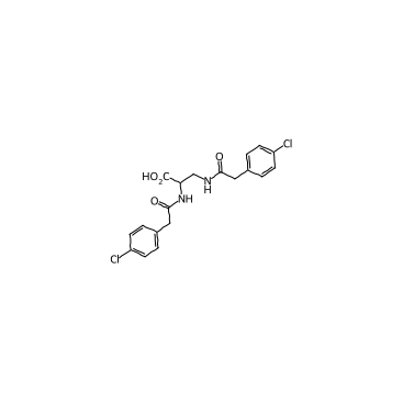 O=C(Cc1ccc(Cl)cc1)NCC(NC(=O)Cc1ccc(Cl)cc1)C(=O)O